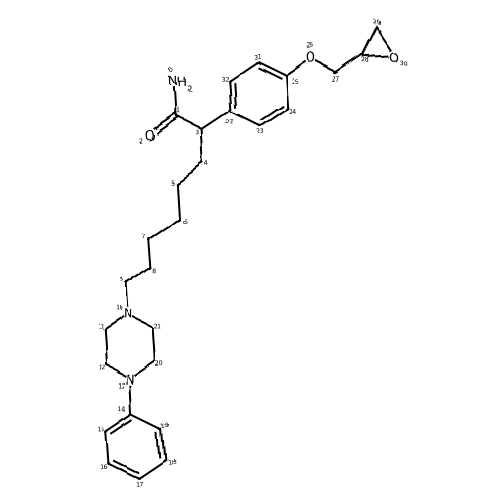 NC(=O)C(CCCCCCN1CCN(c2ccccc2)CC1)c1ccc(OCC2CO2)cc1